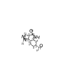 CC(=O)c1ccc2c(c1)[nH]c(=O)c1cnn(C)c12